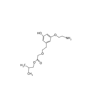 CC(C)COC(=O)COCCc1cc(O)cc(OCCN)c1